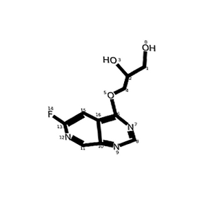 OCC(O)COc1ncnc2cnc(F)cc12